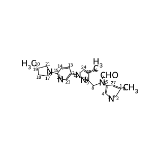 Cc1cncc(N(C=O)Cc2nn(-c3ccc(N4CC[C@H](C)C4)nc3)cc2C)c1